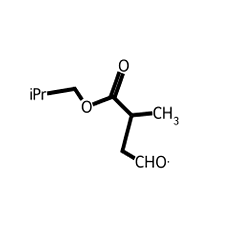 CC(C)COC(=O)C(C)C[C]=O